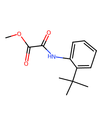 COC(=O)C(=O)Nc1ccccc1C(C)(C)C